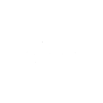 CCCC(=O)OCc1cccc(C)c1O